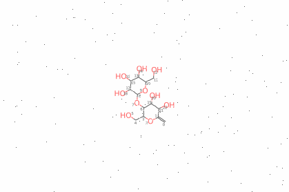 C=C1OC(CO)C(OC2OC(CO)C(O)C(O)C2O)C(O)C1O